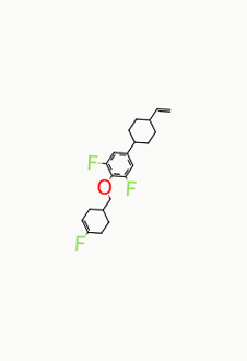 C=CC1CCC(c2cc(F)c(OCC3CC=C(F)CC3)c(F)c2)CC1